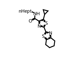 CCCCCCCNC(=O)c1nc(-c2nc3c(s2)CCCC3)sc1C1CC1